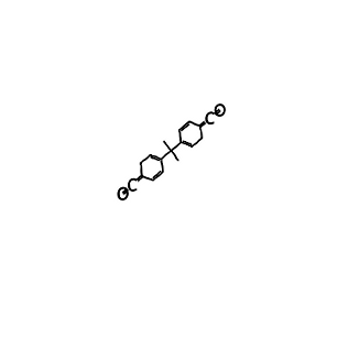 CC(C)(C1=CCC(=C=O)C=C1)C1=CCC(=C=O)C=C1